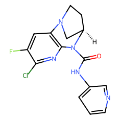 O=C(Nc1cccnc1)N1c2nc(Cl)c(F)cc2N2CC[C@@H]1C2